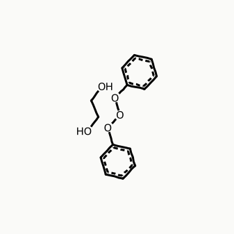 OCCO.c1ccc(OOOc2ccccc2)cc1